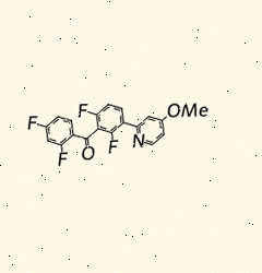 COc1ccnc(-c2ccc(F)c(C(=O)c3ccc(F)cc3F)c2F)c1